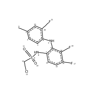 Cc1ccc(Nc2c(NS(=O)(=O)CCl)ccc(F)c2F)c(F)c1